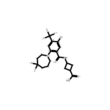 O=C(NC1CC(C(=O)O)C1)c1cc(Cl)c(C(F)(F)F)cc1N1CCCC(F)(F)CC1